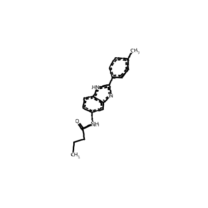 CCCC(=O)Nc1ccc2[nH]c(-c3ccc(C)cc3)nc2c1